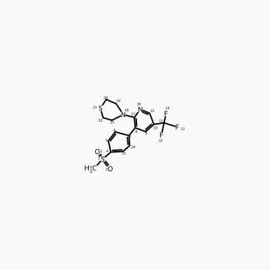 CS(=O)(=O)c1ccc(-c2cc(C(F)(F)F)cnc2N2CCSCC2)cc1